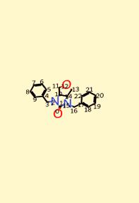 O=C1N(Cc2ccccc2)C2COCC2N1Cc1ccccc1